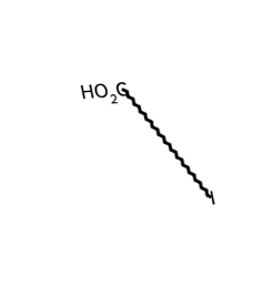 O=C(O)CCCCCCCCCCCCCCCCCCCCCCCCCCCCI